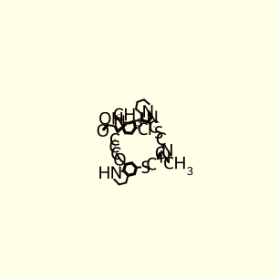 Cn1nc2cc1CSc1cc3c(c(c1)OCCCc1c(C(=O)O)n(C)c4c(c(Cl)ccc14)-c1c(nn4c1CCCC4)CSC2)NCCC3